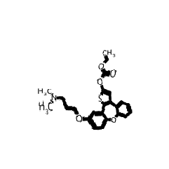 CCOC(=O)Oc1cc2c(s1)-c1cc(OCCCN(C)C)ccc1Oc1ccccc1-2